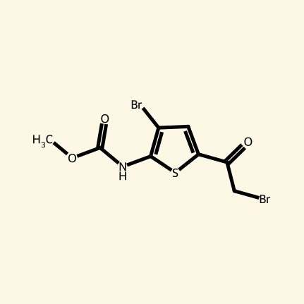 COC(=O)Nc1sc(C(=O)CBr)cc1Br